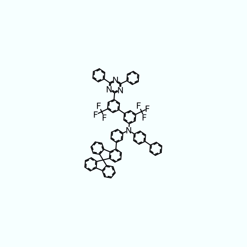 FC(F)(F)c1cc(-c2cc(N(c3ccc(-c4ccccc4)cc3)c3cccc(-c4cccc5c4-c4ccccc4C54c5ccccc5-c5ccccc54)c3)cc(C(F)(F)F)c2)cc(-c2nc(-c3ccccc3)nc(-c3ccccc3)n2)c1